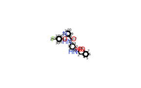 O=C(Cc1ccccc1O)NC1CCC(NC(=O)c2cccnc2Oc2ccc(F)cc2)CC1